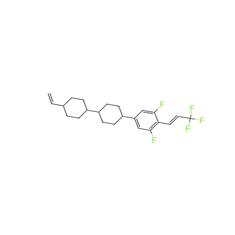 C=CC1CCC(C2CCC(c3cc(F)c(/C=C/C(F)(F)F)c(F)c3)CC2)CC1